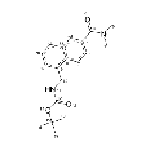 CN(C)C(=O)c1ccc2c(CNC(=O)OC(C)(C)C)cccc2c1